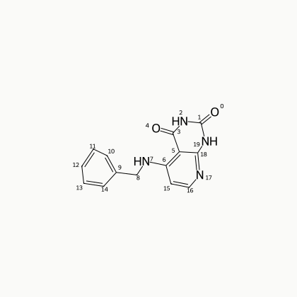 O=c1[nH]c(=O)c2c(NCc3ccccc3)ccnc2[nH]1